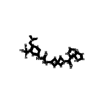 CN(C)Cc1ccc(NC(=O)NC2CC3(C2)CN(C(=O)c2ncnc4ccsc24)C3)cc1C(F)(F)F